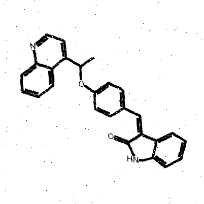 CC(Oc1ccc(C=C2C(=O)Nc3ccccc32)cc1)c1ccnc2ccccc12